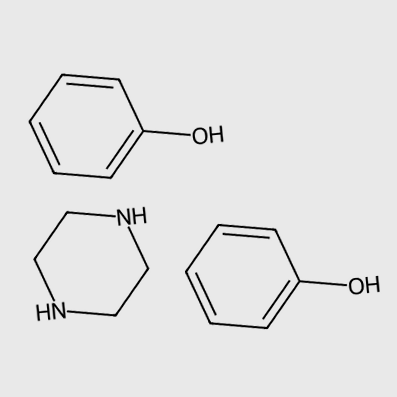 C1CNCCN1.Oc1ccccc1.Oc1ccccc1